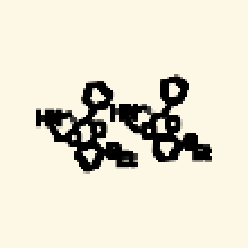 CCOc1ccccc1O[C@H](c1ccccc1)[C@H]1CNCCO1.CCOc1ccccc1O[C@H](c1ccccc1)[C@H]1CNCCO1